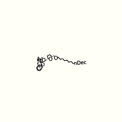 CCCCCCCCCCCCCCCCCCOC[C@@H]1CC[C@@H](COC(=O)N(Cc2ccccn2)C(C)=O)O1